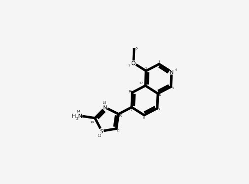 COc1cncc2ccc(-c3csc(N)n3)cc12